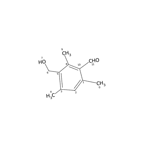 Cc1cc(C)c(CO)c(C)c1C=O